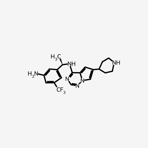 C[C@@H](Nc1ncnn2cc(C3CCNCC3)cc12)c1cc(N)cc(C(F)(F)F)c1